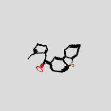 Cc1ccccc1C(=O)c1ccc2sc3ccccc3c2c1